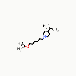 CC(C)OCCCCCCN1CCC(C(C)C)CC1